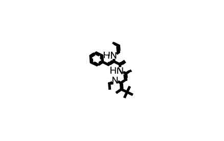 C=C(N\C(C)=C/C(/N=C\C)=C(/C)C(C)(C)C)/C(=C/c1ccccc1)N/C=C\C